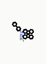 CC1CCC2C3C=CCCC3C3(C4C[C@@H](NC5=CCC(C6CC=CCC6)C=C5)C=CC4C4CCCCC43)C2C1